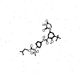 COc1c(C(=O)Nc2ccc(N(C(=O)OCC(C)C)S(C)(=O)=O)cc2)cc(N2CCC(=O)NC2=O)cc1C(C)(C)C